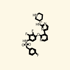 O=S(=O)(Cc1ccc(F)cc1)Nc1ccc(Oc2ncccc2-c2ccnc(N[C@H]3CCCNC3)n2)c(F)c1F